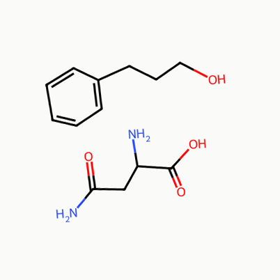 NC(=O)CC(N)C(=O)O.OCCCc1ccccc1